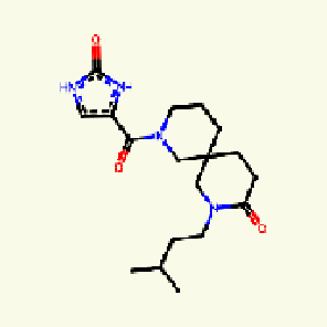 CC(C)CCN1CC2(CCCN(C(=O)c3c[nH]c(=O)[nH]3)C2)CCC1=O